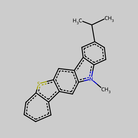 CC(C)c1ccc2c(c1)c1cc3sc4ccccc4c3cc1n2C